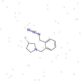 [N-]=[N+]=NCc1ccccc1CN1CCC(F)C1